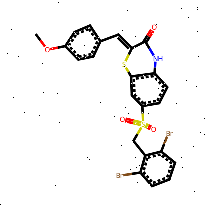 COc1ccc(C=C2Sc3cc(S(=O)(=O)Cc4c(Br)cccc4Br)ccc3NC2=O)cc1